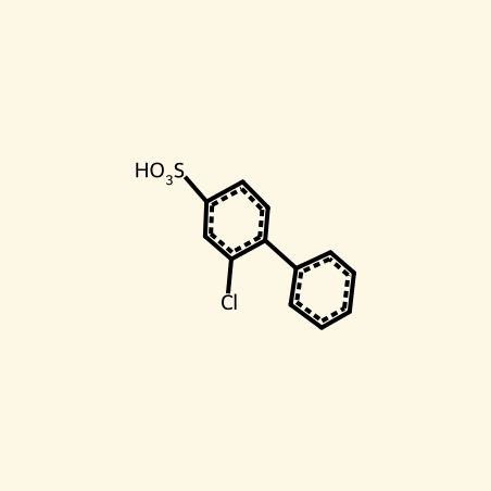 O=S(=O)(O)c1ccc(-c2ccccc2)c(Cl)c1